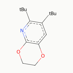 CC(C)(C)c1cc2c(nc1C(C)(C)C)OCCO2